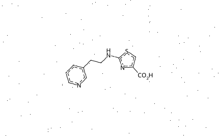 O=C(O)c1csc(NCCc2cccnc2)n1